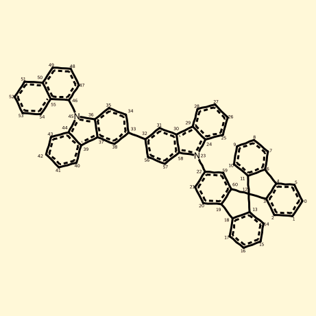 c1ccc2c(c1)-c1ccccc1C21c2ccccc2-c2ccc(-n3c4ccccc4c4cc(-c5ccc6c(c5)c5ccccc5n6-c5cccc6ccccc56)ccc43)cc21